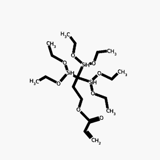 C=CC(=O)OCCC([SiH](OCC)OCC)([SiH](OCC)OCC)[SiH](OCC)OCC